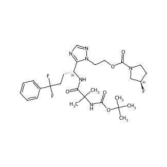 CC(C)(C)OC(=O)NC(C)(C)C(=O)N[C@H](CCC(F)(F)c1ccccc1)c1ncnn1CCOC(=O)N1CC[C@@H](F)C1